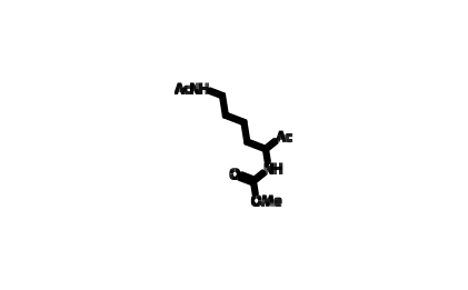 COC(=O)NC(CCCCNC(C)=O)C(C)=O